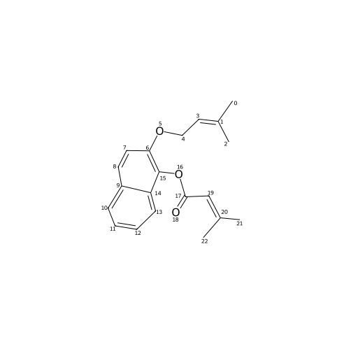 CC(C)=CCOc1ccc2ccccc2c1OC(=O)C=C(C)C